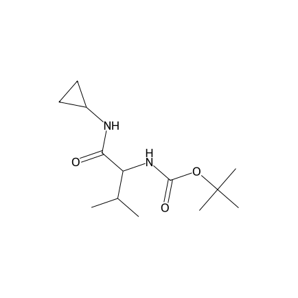 CC(C)C(NC(=O)OC(C)(C)C)C(=O)NC1CC1